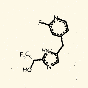 O[C@@H](c1ncc(Cc2ccnc(F)c2)[nH]1)C(F)(F)F